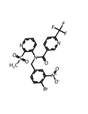 CS(=O)(=O)c1ncccc1N(Cc1ccc(Br)c([N+](=O)[O-])c1)C(=O)c1ccc(C(F)(F)F)nc1